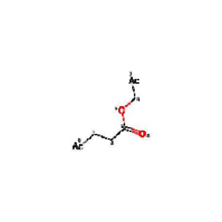 CC(=O)CCC(=O)OCC(C)=O